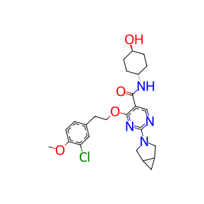 COc1ccc(CCOc2nc(N3CC4CC4C3)ncc2C(=O)N[C@H]2CC[C@H](O)CC2)cc1Cl